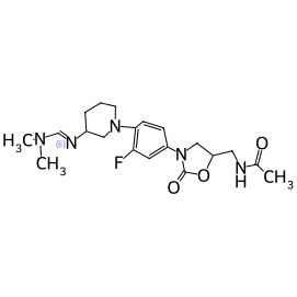 CC(=O)NCC1CN(c2ccc(N3CCCC(/N=C/N(C)C)C3)c(F)c2)C(=O)O1